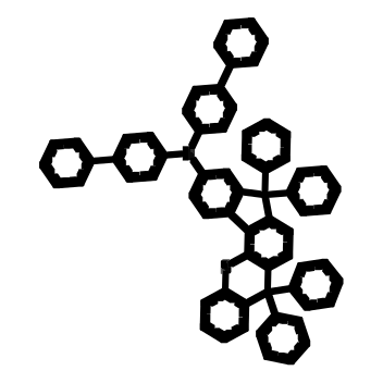 c1ccc(-c2ccc(N(c3ccc(-c4ccccc4)cc3)c3ccc4c(c3)C(c3ccccc3)(c3ccccc3)c3ccc5c(c3-4)Sc3ccccc3C5(c3ccccc3)c3ccccc3)cc2)cc1